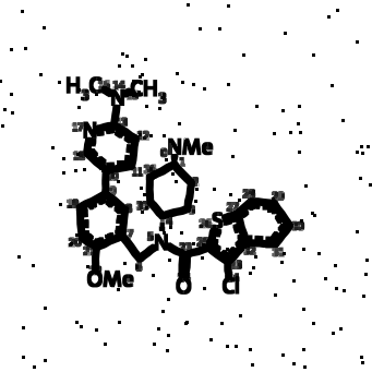 CN[C@H]1CC[C@H](N(Cc2cc(-c3ccc(N(C)C)nc3)ccc2OC)C(=O)c2sc3ccccc3c2Cl)CC1